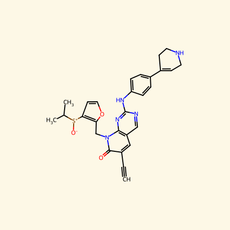 C#Cc1cc2cnc(Nc3ccc(C4=CCNCC4)cc3)nc2n(Cc2occc2[S+]([O-])C(C)C)c1=O